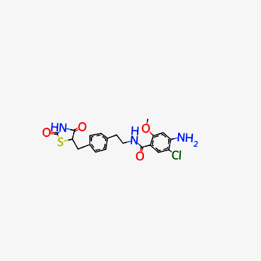 COc1cc(N)c(Cl)cc1C(=O)NCCc1ccc(CC2SC(=O)NC2=O)cc1